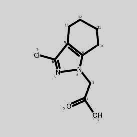 O=C(O)Cn1nc(Cl)c2c1CCCC2